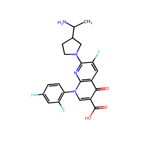 CC(N)C1CCN(c2nc3c(cc2F)c(=O)c(C(=O)O)cn3-c2ccc(F)cc2F)C1